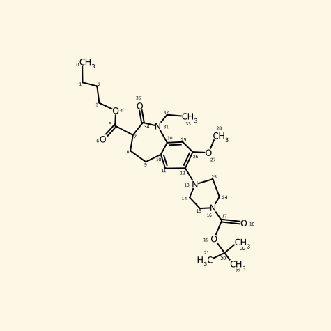 CCCCOC(=O)C1CCc2cc(N3CCN(C(=O)OC(C)(C)C)CC3)c(OC)cc2N(CC)C1=O